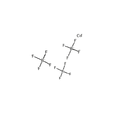 F[B-](F)(F)F.F[B-](F)(F)F.F[B-](F)(F)F.[Cd]